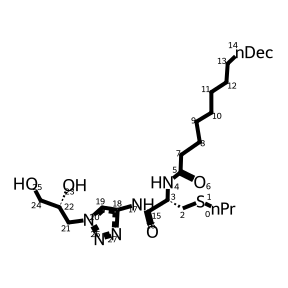 [CH2][CH]CSC[C@@H](NC(=O)CCCCCCCCCCCCCCCCC)C(=O)Nc1cn(C[C@@H](O)CO)nn1